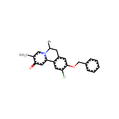 CCOC(=O)c1cn2c(cc1=O)-c1cc(Cl)c(OCc3ccccc3)cc1CC2C(C)C